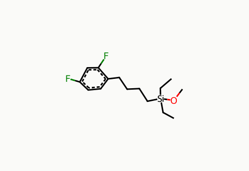 CC[Si](CC)(CCCCc1ccc(F)cc1F)OC